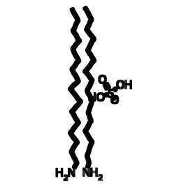 CCCCCCCCCCCCCCCCN.CCCCCCCCCCCCCCCCN.O=S(=O)(O)O